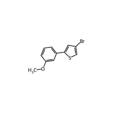 COc1cccc(-c2cc(Br)cs2)c1